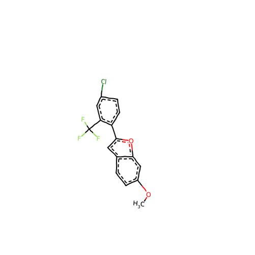 COc1ccc2cc(-c3ccc(Cl)cc3C(F)(F)F)oc2c1